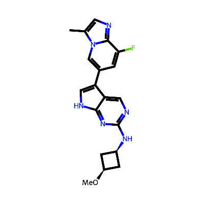 CO[C@H]1C[C@@H](Nc2ncc3c(-c4cc(F)c5ncc(C)n5c4)c[nH]c3n2)C1